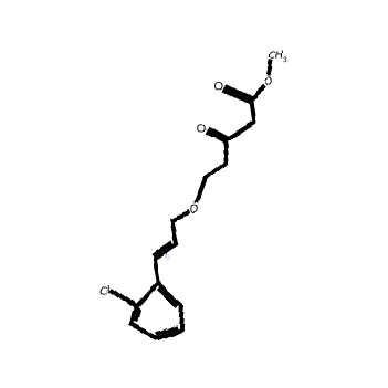 COC(=O)CC(=O)CCOC/C=C/c1ccccc1Cl